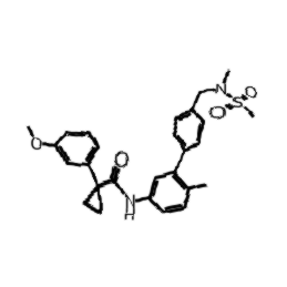 COc1cccc(C2(C(=O)Nc3ccc(C)c(-c4ccc(CN(C)S(C)(=O)=O)cc4)c3)CC2)c1